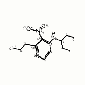 CCC(CC)Nc1ccnc(CCCl)c1[N+](=O)[O-]